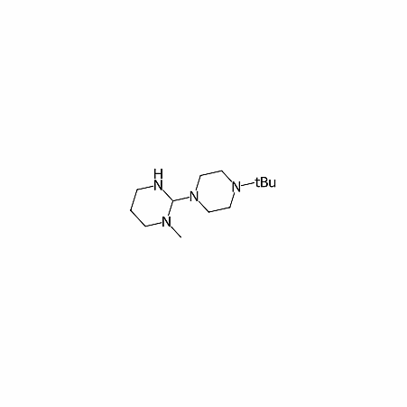 CN1CCCNC1N1CCN(C(C)(C)C)CC1